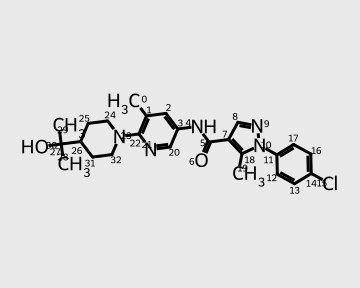 Cc1cc(NC(=O)c2cnn(-c3ccc(Cl)cc3)c2C)cnc1N1CCC(C(C)(C)O)CC1